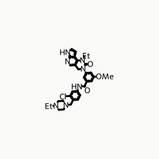 CCN1CCN(Cc2ccc(NC(=O)c3cc(OC)cc(N4Cc5cnc6[nH]ccc6c5N(CC)C4=O)c3)cc2Cl)CC1